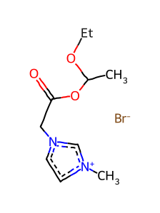 CCOC(C)OC(=O)Cn1cc[n+](C)c1.[Br-]